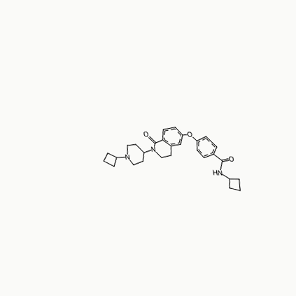 O=C(NC1CCC1)c1ccc(Oc2ccc3c(c2)CCN(C2CCN(C4CCC4)CC2)C3=O)cc1